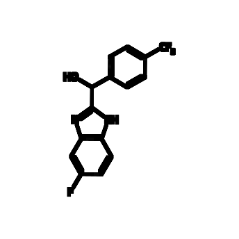 OC(c1ccc(C(F)(F)F)cc1)c1nc2cc(F)ccc2[nH]1